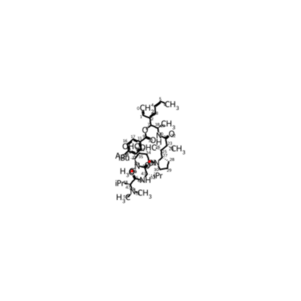 C=C/C(=C\C=C/C)C(OC(=O)c1ccc(C(C)=O)cc1)[C@@H](C)NC(=O)[C@H](C)[C@@H](C=O)[C@@H]1CCCN1C(=O)C[C@@H](C=O)[C@H]([C@@H](C)CC)N(C)C(=O)[C@@H](NC(=O)[C@H](C(C)C)N(C)C)C(C)C